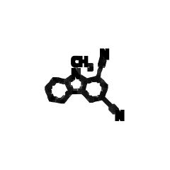 Cn1c2ccccc2c2cc(C#N)cc(C#N)c21